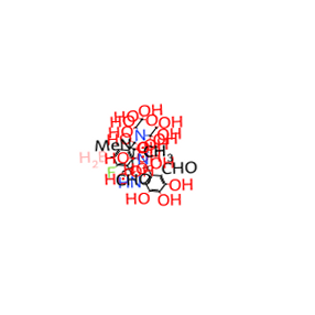 Bc1cc(C(O)(O)N2C(O)(O)C(O)(O)OC(O)(O)C2(O)O)c(O)c(C(O)(O)Nc2c(O)c(O)c(O)c(C=O)c2C(O)(O)N(C)C(O)(CCC=O)C(=O)NC)c1F